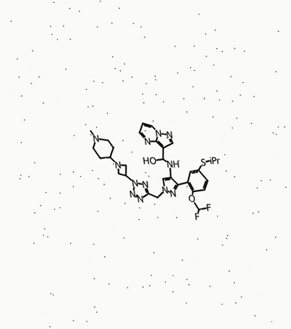 CC(C)Sc1ccc(OC(F)F)c(-c2nn(Cc3nnn(C4CN(C5CCN(C)CC5)C4)n3)cc2NC(O)c2cnn3cccnc23)c1